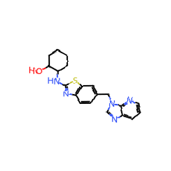 OC1CCCCC1Nc1nc2ccc(Cn3cnc4cccnc43)cc2s1